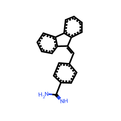 N=C(N)c1ccc(C=C2c3ccccc3-c3ccccc32)cc1